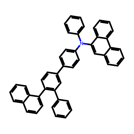 c1ccc(-c2cc(-c3ccc(N(c4ccccc4)c4cc5ccccc5c5ccccc45)cc3)ccc2-c2cccc3ccccc23)cc1